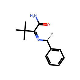 C[C@@H](N=C(C(N)=O)C(C)(C)C)c1ccccc1